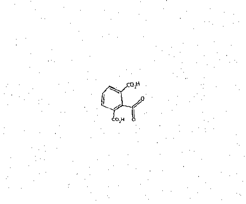 O=C(O)c1cccc(C(=O)O)c1I(=O)=O